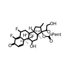 CCCCCC(=O)O[C@]1(C(=O)CO)C(C)C[C@H]2[C@@H]3CC(F)C4=C(F)C(=O)C=C[C@]4(C)[C@@]3(F)C(O)C[C@@]21C